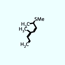 C=C/C=C(C)\C=C/C(C)SC